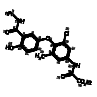 CCCNC(=O)c1cc(Oc2c(C)cc(NC(=O)C(=O)OCC)cc2Cl)ccc1O